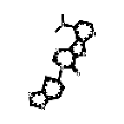 CN(C)c1ccnc2sc3c(=O)n(-c4ccc5ncoc5c4)cnc3c12